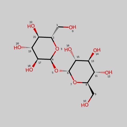 OC[C@@H]1O[C@@H](O[C@H]2O[C@H](CO)[C@@H](O)[C@H](O)[C@H]2O)[C@@H](O)[C@H](O)[C@H]1O